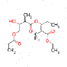 C=CC(=O)OCC(O)C(=C)C(=O)OC(CC)=C(C)C(=O)OCC